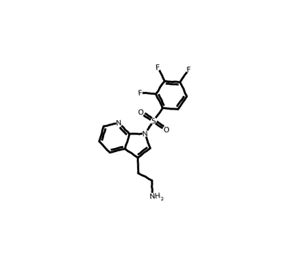 NCCc1cn(S(=O)(=O)c2ccc(F)c(F)c2F)c2ncccc12